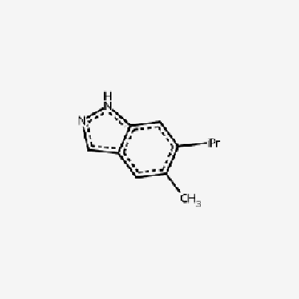 Cc1cc2cn[nH]c2cc1C(C)C